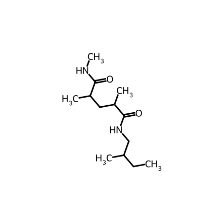 CCC(C)CNC(=O)C(C)CC(C)C(=O)NC